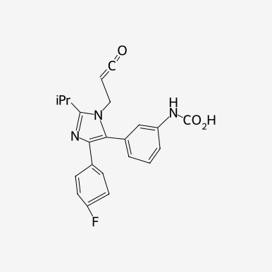 CC(C)c1nc(-c2ccc(F)cc2)c(-c2cccc(NC(=O)O)c2)n1CC=C=O